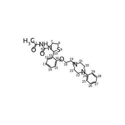 CC(=O)NC(=O)N1CCSC1c1ccccc1OCCN1CCN(c2ccccc2)CC1